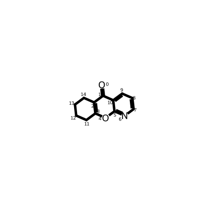 O=c1c2c(oc3ncccc13)CCCC2